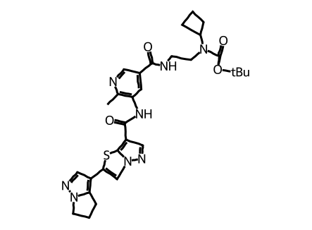 Cc1ncc(C(=O)NCCN(C(=O)OC(C)(C)C)C2CCC2)cc1NC(=O)c1cnn2cc(-c3cnn4c3CCC4)sc12